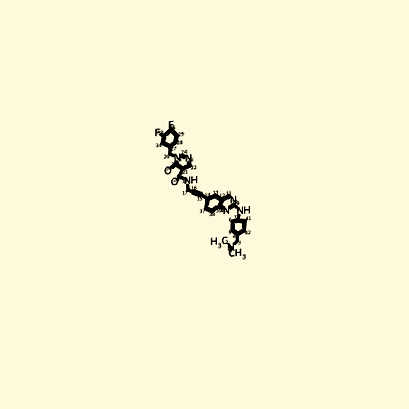 CN(C)Cc1ccc(Nc2ncc3cc(C#CCNC(=O)c4cncn(Cc5ccc(F)c(F)c5)c4=O)ccc3n2)cc1